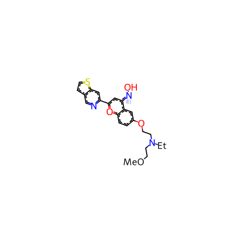 CCN(CCOC)CCOc1ccc2oc(-c3cc4sccc4cn3)c/c(=N\O)c2c1